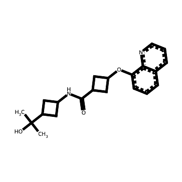 CC(C)(O)C1CC(NC(=O)C2CC(Oc3cccc4cccnc34)C2)C1